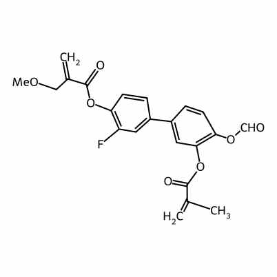 C=C(C)C(=O)Oc1cc(-c2ccc(OC(=O)C(=C)COC)c(F)c2)ccc1OC=O